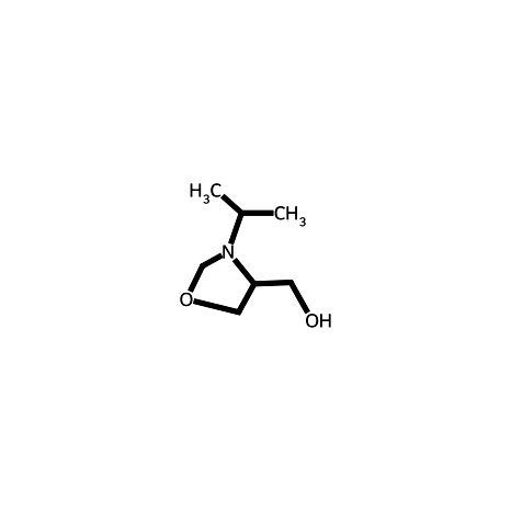 CC(C)N1COCC1CO